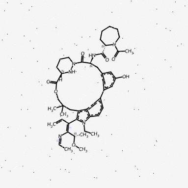 C=C/C(=C(\N=C/C)[C@H](C)OC)c1c2c3cc(ccc3n1CC)-c1cc(O)cc(c1)C[C@H](NC(=O)[C@@H]1CCCCCN1C(C)=O)C(=O)N1CCC[C@H](N1)C(=O)OCC(C)(C)C2